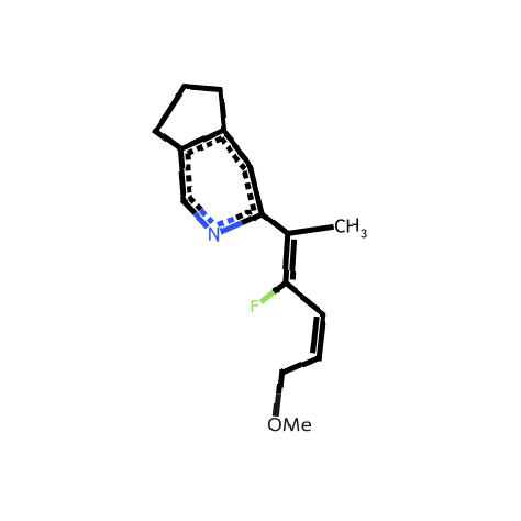 COC/C=C\C(F)=C(/C)c1cc2c(cn1)CCC2